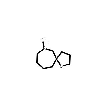 CN1CCCCC2(CCCO2)C1